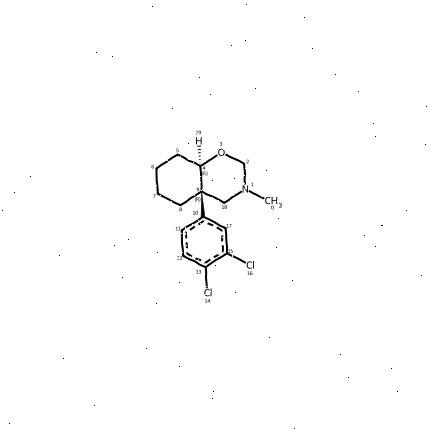 CN1CO[C@@H]2CCCC[C@@]2(c2ccc(Cl)c(Cl)c2)C1